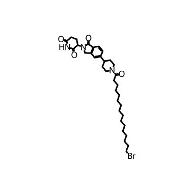 O=C1CCC(N2Cc3cc(C4CCN(C(=O)CCCCCCCCCCCCCCCBr)CC4)ccc3C2=O)C(=O)N1